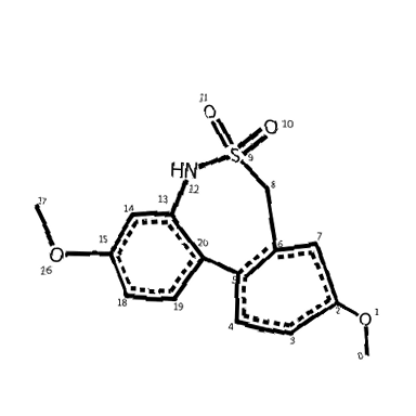 COc1ccc2c(c1)CS(=O)(=O)Nc1cc(OC)ccc1-2